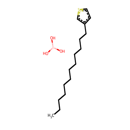 CCCCCCCCCCCCc1ccsc1.OB(O)O